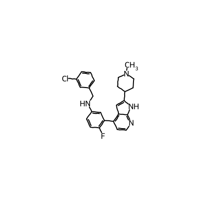 CN1CCC(c2cc3c(-c4cc(NCc5cccc(Cl)c5)ccc4F)ccnc3[nH]2)CC1